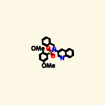 COc1ccc(OC)c(S(=O)(=O)N(Cc2ccccc2)c2cnc3ccccc3c2)c1